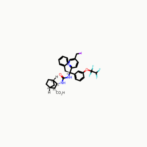 O=C(N[C@H]1[C@H]2CC[C@H](C2)[C@H]1C(=O)O)N[C@@](Cc1ccccc1)(c1cccc(OC(F)(F)C(F)F)c1)c1ccc(CI)cn1